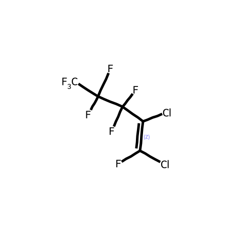 F/C(Cl)=C(/Cl)C(F)(F)C(F)(F)C(F)(F)F